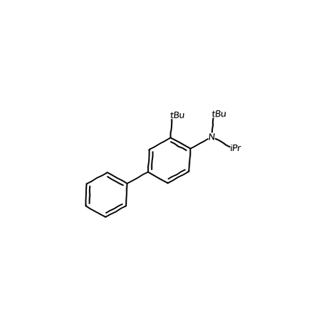 CC(C)N(c1ccc(-c2ccccc2)cc1C(C)(C)C)C(C)(C)C